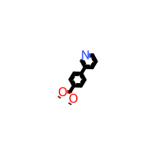 COC(OC)c1ccc(-c2cccnc2)cc1